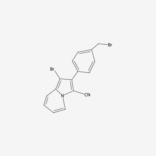 N#Cc1c(-c2ccc(CBr)cc2)c(Br)c2ccccn12